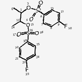 CC(OS(=O)(=O)c1ccc(F)cc1)C(C)OS(=O)(=O)c1ccc(F)cc1